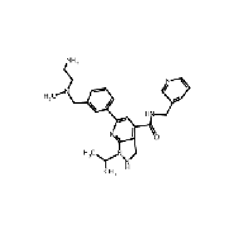 CC(C)N1NCc2c(C(=O)NCc3cccnc3)cc(-c3cccc(CN(C)CCN)c3)nc21